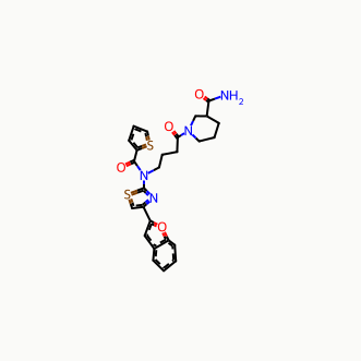 NC(=O)C1CCCN(C(=O)CCCN(C(=O)c2cccs2)c2nc(-c3cc4ccccc4o3)cs2)C1